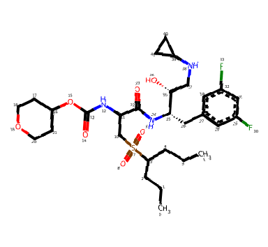 CCCC(CCC)S(=O)(=O)CC(NC(=O)OC1CCOCC1)C(=O)N[C@@H](Cc1cc(F)cc(F)c1)[C@H](O)CNC1CC1